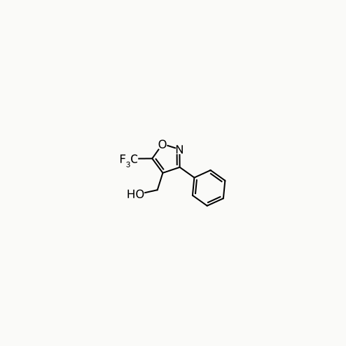 OCc1c(-c2ccccc2)noc1C(F)(F)F